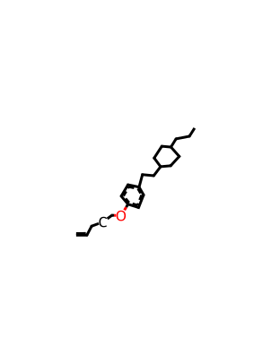 C=CCCCOc1ccc(CCC2CCC(CCC)CC2)cc1